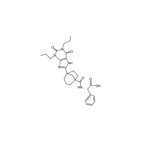 CCCn1c(=O)c2[nH]c(C34CCCC(C(=O)N[C@H](C(=O)O)c5ccccc5)(CC3)C4)nc2n(CCC)c1=O